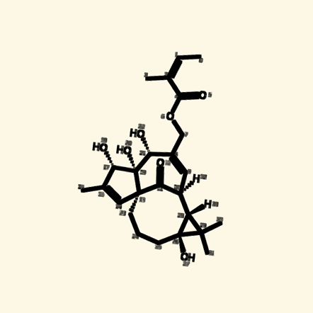 C/C=C(/C)C(=O)OCC1=C[C@@H]2C(=O)[C@]3(C=C(C)[C@H](O)[C@@]3(O)[C@@H]1O)CCC[C@]1(O)[C@H]2C1(C)C